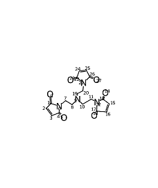 O=C1C=CC(=O)N1CCN(CCN1C(=O)C=CC1=O)CCN1C(=O)C=CC1=O